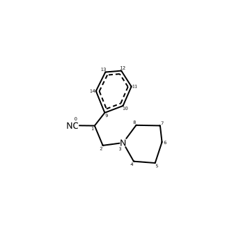 N#CC(CN1CCCCC1)c1ccccc1